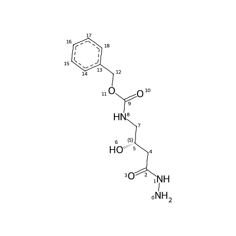 NNC(=O)C[C@H](O)CNC(=O)OCc1ccccc1